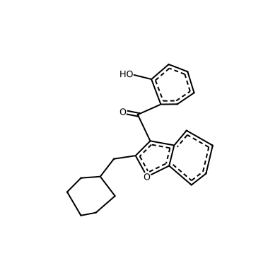 O=C(c1ccccc1O)c1c(CC2CCCCC2)oc2ccccc12